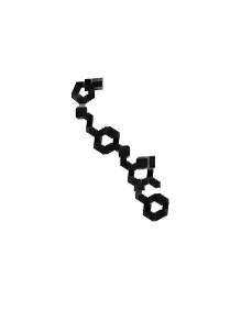 CC(C)N(Cc1ccccc1)CC(O)COc1ccc(CCO[C@@H]2CCNC2)cc1